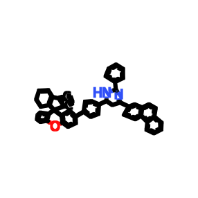 C1=CC2=C(CC1)C1(c3ccccc3Oc3ccc(-c4ccc(C5CC(c6ccc7c(ccc8ccccc87)c6)=NC(c6ccccc6)N5)cc4)cc31)c1ccccc12